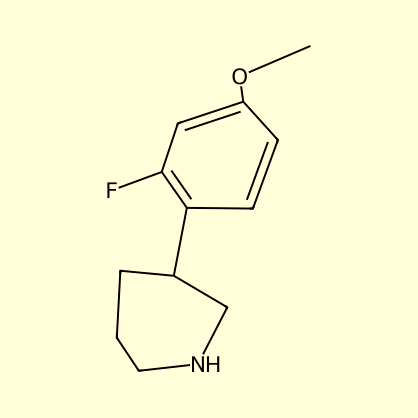 COc1ccc(C2CCCNC2)c(F)c1